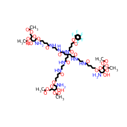 CC(=O)OCC1OC(OCCCCC(=O)NCCCNC(=O)CCC(CCC(=O)NCCCNC(=O)CCCCOC2OC(COC(C)=O)C(OC(C)=O)C(O)C2N)(CCC(=O)NCCCNC(=O)CCCCOC2OC(COC(C)=O)C(OC(C)=O)C(O)C2N)NC(=O)CCCC(=O)Oc2c(F)c(F)c(F)c(F)c2F)C(N)C(O)C1OC(C)=O